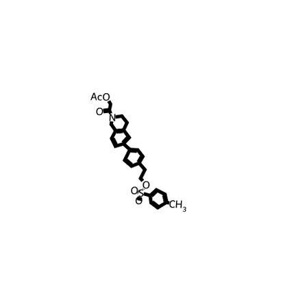 CC(=O)OCC(=O)N1CCc2cc(-c3ccc(CCOS(=O)(=O)c4ccc(C)cc4)cc3)ccc2C1